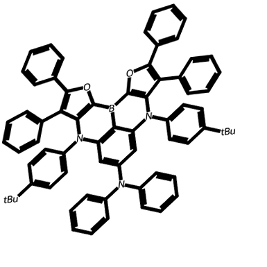 CC(C)(C)c1ccc(N2c3cc(N(c4ccccc4)c4ccccc4)cc4c3B(c3oc(-c5ccccc5)c(-c5ccccc5)c32)c2oc(-c3ccccc3)c(-c3ccccc3)c2N4c2ccc(C(C)(C)C)cc2)cc1